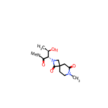 CNC(=O)[C@H]([C@@H](C)O)N1CC2(CCN(C)C(=O)C2)C1=O